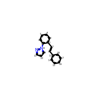 C(=Cc1ccccc1-n1cccn1)c1ccccc1